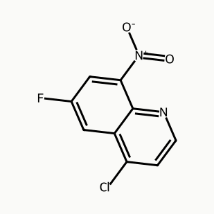 O=[N+]([O-])c1cc(F)cc2c(Cl)ccnc12